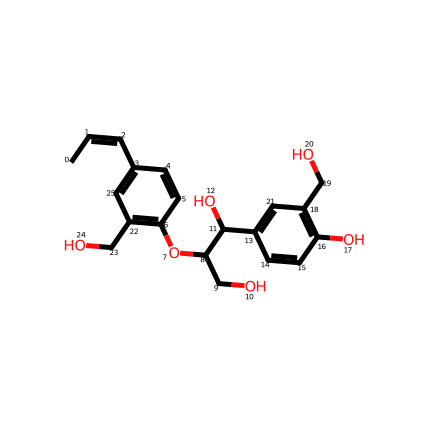 C/C=C\c1ccc(OC(CO)C(O)c2ccc(O)c(CO)c2)c(CO)c1